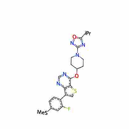 CSc1ccc(-c2csc3c(OC4CCN(c5noc(C(C)C)n5)CC4)ncnc23)c(F)c1